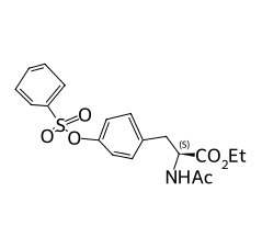 CCOC(=O)[C@H](Cc1ccc(OS(=O)(=O)c2ccccc2)cc1)NC(C)=O